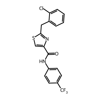 O=C(Nc1ccc(C(F)(F)F)cc1)c1csc(Cc2ccccc2Cl)n1